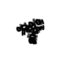 O=c1ccn([C@@H]2O[C@H](CO)C(O)[C@@H]2OC(=S)N2CCS(=O)(=O)CC2)c(=O)[nH]1